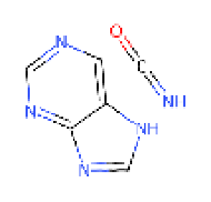 N=C=O.c1ncc2[nH]cnc2n1